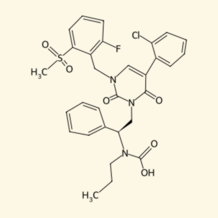 CCCN(C(=O)O)[C@H](Cn1c(=O)c(-c2ccccc2Cl)cn(Cc2c(F)cccc2S(C)(=O)=O)c1=O)c1ccccc1